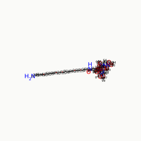 CCCC(N(CC(CCCCCCNC(=O)CCCCCCCCCCCCCCCCCCCCCCCCCCCCCCCCCCCN)CN(C(=O)OC(C)(C)C)C(CCC)N(C(=O)OC(C)(C)C)C(CC)N(C)C(=O)OC(C)(C)C)C(=O)OC(C)(C)C)N(C(=O)OC(C)(C)C)C(CC)N(C)C(=O)OC(C)(C)C